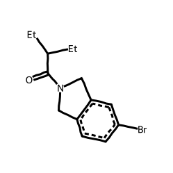 CCC(CC)C(=O)N1Cc2ccc(Br)cc2C1